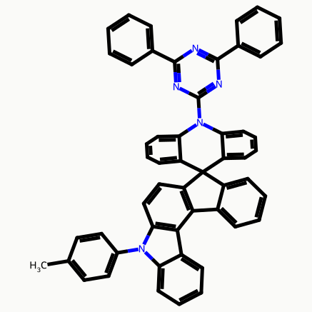 Cc1ccc(-n2c3ccccc3c3c4c(ccc32)C2(c3ccccc3-4)c3ccccc3N(c3nc(-c4ccccc4)nc(-c4ccccc4)n3)c3ccccc32)cc1